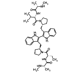 CC[C@H](NC(=O)[C@H](C)NC)C(=O)N1CCC[C@H]1Cc1c(-c2[nH]c3ccccc3c2C[C@@H]2CCCN2C(=O)[C@@H](NC(=O)[C@H](C)NC)C(C)C)[nH]c2ccccc12